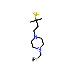 CC(C)CN1CCN(CCC(C)(C)S)CC1